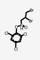 O=[PH](CC(Br)CBr)Oc1c(Cl)cc(Cl)cc1Cl